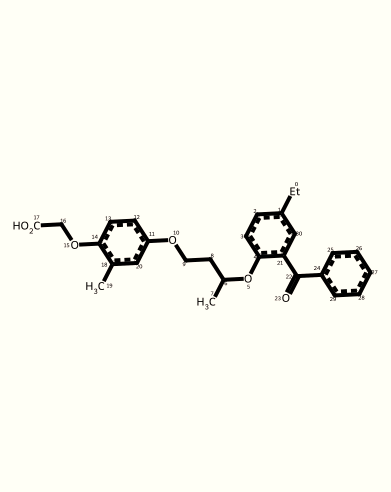 CCc1ccc(OC(C)CCOc2ccc(OCC(=O)O)c(C)c2)c(C(=O)c2ccccc2)c1